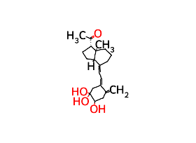 C=C1CC(O)C(O)(O)CC1=CC=C1CCC[C@]2(C)[C@@H](C(C)=O)CC[C@@H]12